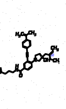 C=C(C)c1ccc(C#Cc2cc(C(=O)NCCCc3cn[nH]c3)ccc2N2CCC(O)(C/C(=C\C)CC)C2)cc1